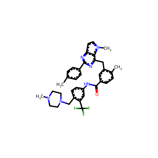 Cc1ccc(-c2nc(Cc3cc(C(=O)Nc4ccc(CN5CCN(C)CC5)c(C(F)(F)F)c4)ccc3C)c3c(ccn3C)n2)cc1